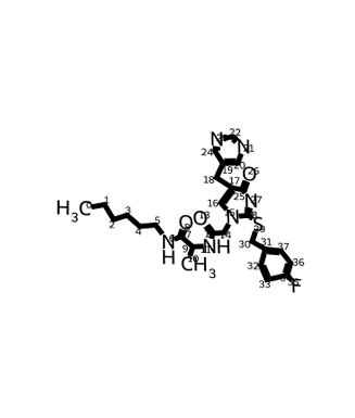 CCCCCCNC(=O)C(C)NC(=O)Cn1cc(Cc2cncnc2)c(=O)nc1SCc1ccc(F)cc1